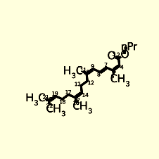 CCCOC(=O)C=C(C)C=CC=C(C)CCC=C(C)CCC=C(C)C